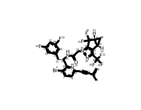 C=C(C)C#Cc1ccc(Br)c([C@H](Cc2cc(F)cc(F)c2)NC(=O)Cn2nc(C(F)(F)F)c3c2C(F)(F)[C@@H]2C[C@H]32)n1